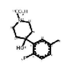 Cc1ccc(F)c(C2(O)CCN(C(=O)O)CC2)c1